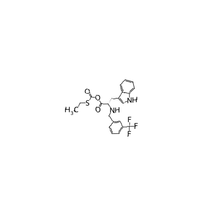 CCSC(=O)OC(=O)[C@H](Cc1c[nH]c2ccccc12)NCc1cccc(C(F)(F)F)c1